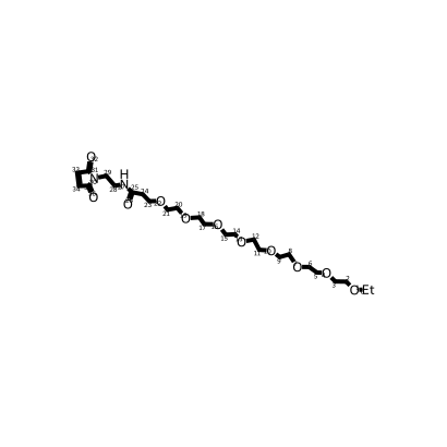 CCOCCOCCOCCOCCOCCOCCOCCOCCC(=O)NCCN1C(=O)C=CC1=O